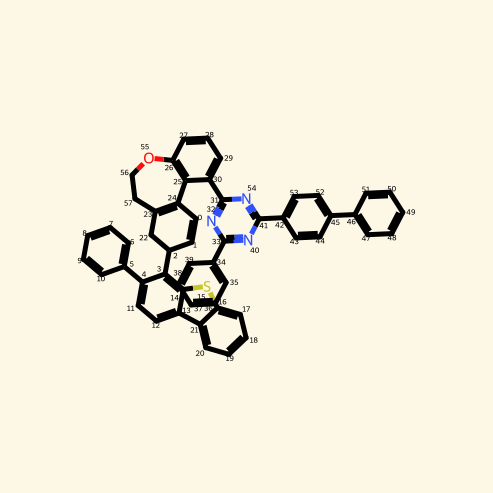 C1=CC(c2c(-c3ccccc3)ccc3c2sc2ccccc23)CC2=C1c1c(cccc1-c1nc(-c3ccccc3)nc(-c3ccc(-c4ccccc4)cc3)n1)OCC2